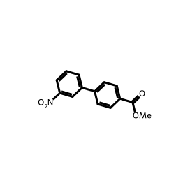 COC(=O)c1ccc(-c2cccc([N+](=O)[O-])c2)cc1